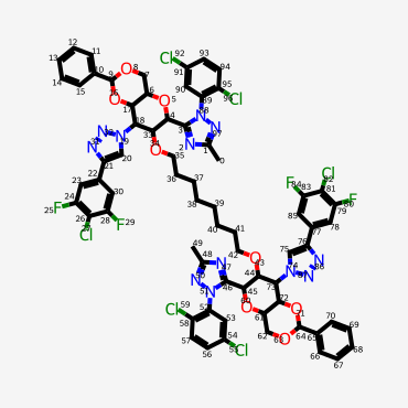 Cc1nc(C2OC3COC(c4ccccc4)OC3C(n3cc(-c4cc(F)c(Cl)c(F)c4)nn3)C2OCCCCCCCCOC2C(c3nc(C)nn3-c3cc(Cl)ccc3Cl)OC3COC(c4ccccc4)OC3C2n2cc(-c3cc(F)c(Cl)c(F)c3)nn2)n(-c2cc(Cl)ccc2Cl)n1